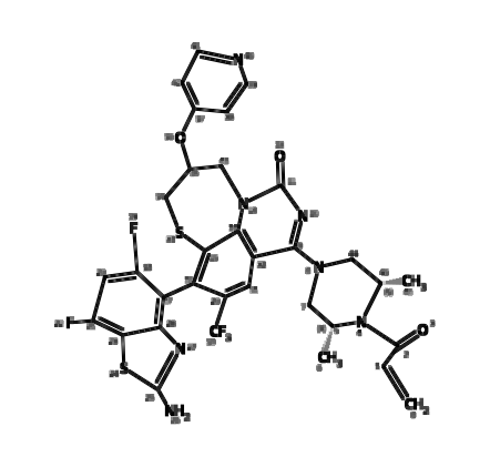 C=CC(=O)N1[C@H](C)CN(c2nc(=O)n3c4c(c(-c5c(F)cc(F)c6sc(N)nc56)c(C(F)(F)F)cc24)SCC(Oc2ccncc2)C3)C[C@@H]1C